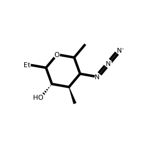 CCC1OC(C)C(N=[N+]=[N-])[C@@H](C)[C@@H]1O